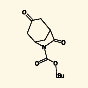 CC(C)(C)OC(=O)N1C(=O)C2CC(=O)CC1C2